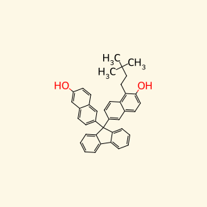 CC(C)(C)CCc1c(O)ccc2cc(C3(c4ccc5cc(O)ccc5c4)c4ccccc4-c4ccccc43)ccc12